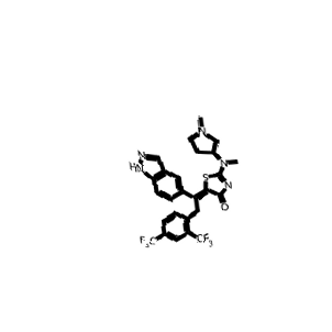 CN1CCC(N(C)C2=NC(=O)C(=C(Cc3ccc(C(F)(F)F)cc3C(F)(F)F)c3ccc4[nH]ncc4c3)S2)C1